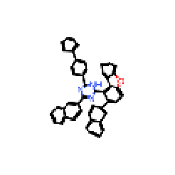 c1ccc(-c2ccc(C3=NC(c4ccc5ccccc5c4)=NC(c4c(-c5ccc6ccccc6c5)ccc5oc6ccccc6c45)N3)cc2)cc1